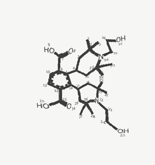 CC1(C)CC(c2c(C(=O)O)ccc(C(=O)O)c2C2CC(C)(C)N(CCO)C(C)(C)C2)CC(C)(C)N1CCO